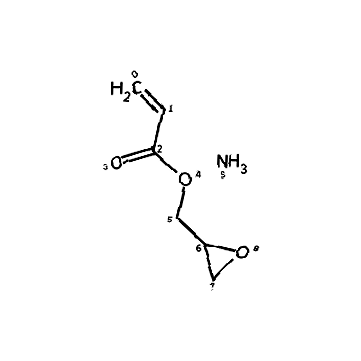 C=CC(=O)OCC1CO1.N